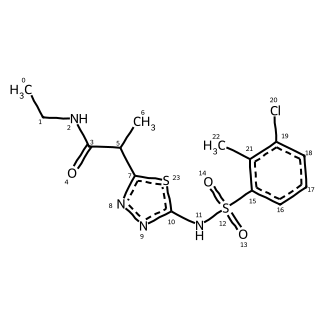 CCNC(=O)C(C)c1nnc(NS(=O)(=O)c2cccc(Cl)c2C)s1